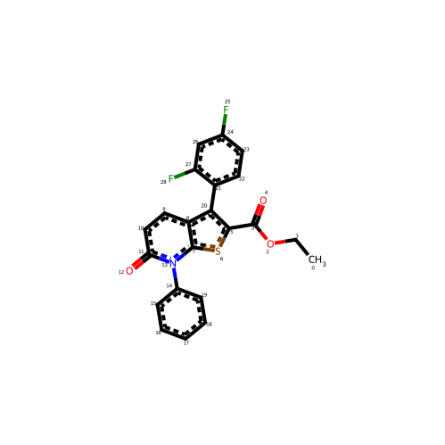 CCOC(=O)c1sc2c(ccc(=O)n2-c2ccccc2)c1-c1ccc(F)cc1F